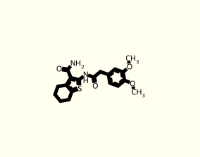 COc1ccc(CC(=O)Nc2sc3c(c2C(N)=O)CCCC3)cc1OC